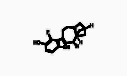 Oc1ccc2[nH]c3c(c2c1F)CCN1C[C@H]2C[C@@H]3[C@@H]1C2